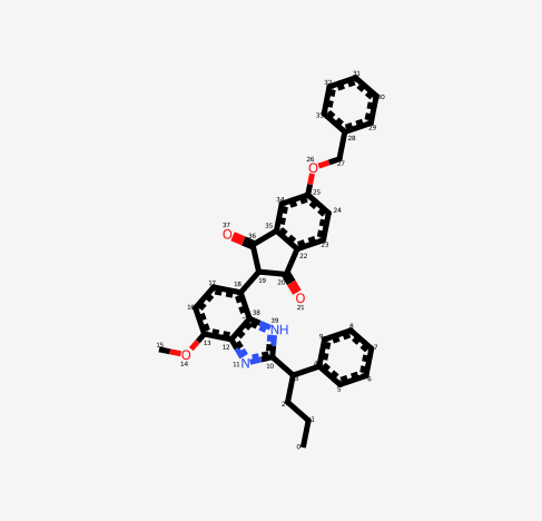 CCCC(c1ccccc1)c1nc2c(OC)ccc(C3C(=O)c4ccc(OCc5ccccc5)cc4C3=O)c2[nH]1